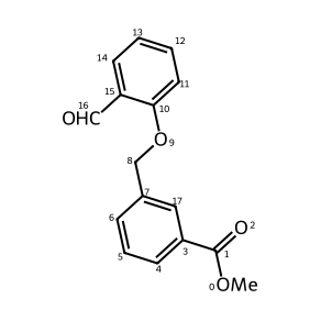 COC(=O)c1cccc(COc2ccccc2C=O)c1